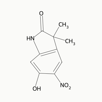 CC1(C)C(=O)Nc2cc(O)c([N+](=O)[O-])cc21